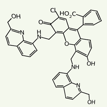 O=C(O)c1ccccc1-c1c2cc(Cl)c(=O)c(CNc3cccc4ccc(CO)nc34)c-2oc2c(CNc3cccc4ccc(CO)nc34)c(O)ccc12